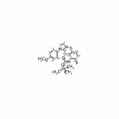 COc1ccc(-n2ccnc2C(OC(=O)OC(C)(C)C)c2cc(F)ccc2F)cc1